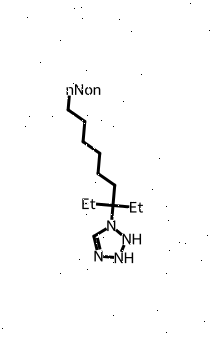 CCCCCCCCCCCCCCCC(CC)(CC)N1C=NNN1